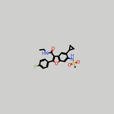 CCNC(=O)c1c(-c2ccc(F)cc2)oc2cc(NS(C)(=O)=O)c(C3CC3)cc12